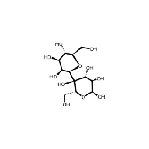 OC[C@H]1O[C@@H]([C@]2(O)[C@H](O)[C@@H](O)[C@@H](O)O[C@@H]2CO)[C@@H](O)[C@@H](O)[C@@H]1O